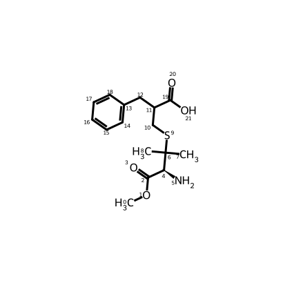 COC(=O)[C@H](N)C(C)(C)SCC(Cc1ccccc1)C(=O)O